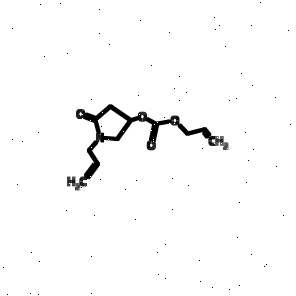 C=CCOC(=O)OC1CC(=O)N(CC=C)C1